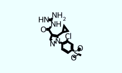 CS(=O)(=O)c1ccc(-n2ncc(C(=O)NC(=N)N)c2C2CC2)c(Cl)c1